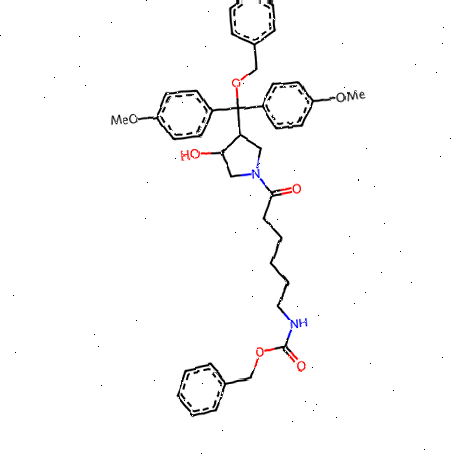 COc1ccc(C(OCc2ccccc2)(c2ccc(OC)cc2)C2CN(C(=O)CCCCCNC(=O)OCc3ccccc3)CC2O)cc1